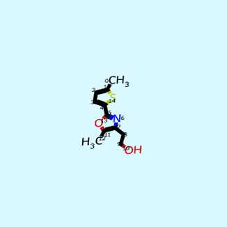 Cc1ccc(-c2nc(CCO)c(C)o2)s1